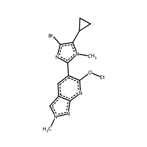 CCOc1nc2nn(C)cc2cc1-c1nc(Br)c(C2CC2)n1C